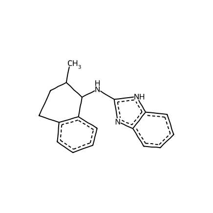 CC1CCc2ccccc2C1Nc1nc2ccccc2[nH]1